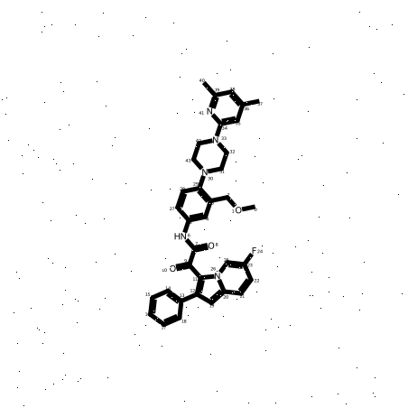 COCc1cc(NC(=O)C(=O)c2c(-c3ccccc3)cc3ccc(F)cn23)ccc1N1CCN(c2cc(C)cc(C)n2)CC1